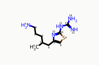 CC(CCCN)Cc1csc(NC(=N)N)n1